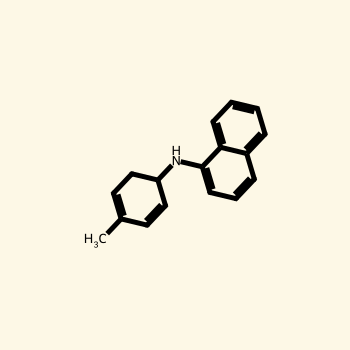 CC1=CCC(Nc2cccc3ccccc23)C=C1